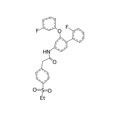 CCS(=O)(=O)c1ccc(CC(=O)Nc2ccc(-c3ccccc3F)c(Oc3cccc(F)c3)c2)cc1